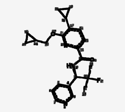 O=C(N[C@H](c1cccnc1)C(F)(F)F)c1ccc(C2CC2)c(OCC2CC2)n1